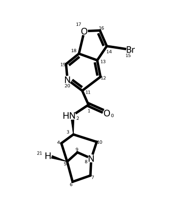 O=C(N[C@@H]1C[C@H]2CCN(C2)C1)c1cc2c(Br)coc2cn1